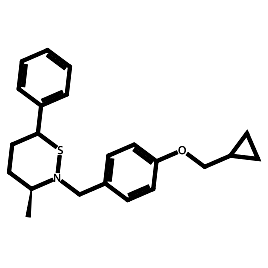 C[C@H]1CCC(c2ccccc2)SN1Cc1ccc(OCC2CC2)cc1